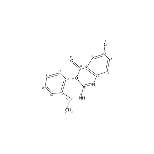 C[C@@H](Nc1nc2ccc(Cl)cc2c(=O)o1)c1ccccc1